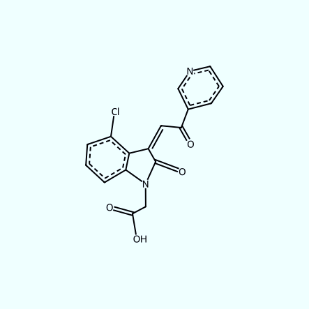 O=C(O)CN1C(=O)C(=CC(=O)c2cccnc2)c2c(Cl)cccc21